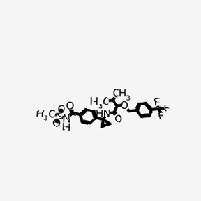 CC(C)C(OCc1ccc(C(F)(F)F)cc1)C(=O)NC1(c2ccc(C(=O)NS(C)(=O)=O)cc2)CC1